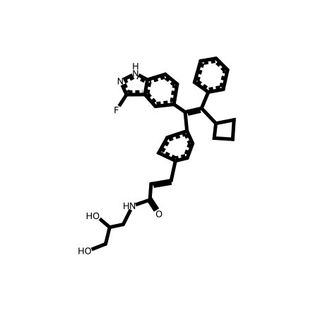 O=C(C=Cc1ccc(C(=C(c2ccccc2)C2CCC2)c2ccc3[nH]nc(F)c3c2)cc1)NCC(O)CO